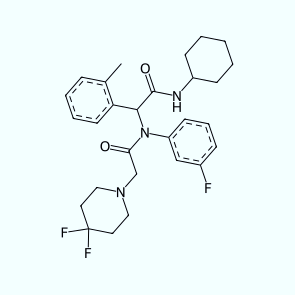 Cc1ccccc1C(C(=O)NC1CCCCC1)N(C(=O)CN1CCC(F)(F)CC1)c1cccc(F)c1